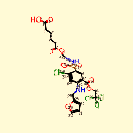 O=C(O)CCCCC(=O)OCNS(=O)(=O)c1cc(C(=O)OCC(Cl)(Cl)Cl)c(NCc2ccco2)cc1Cl